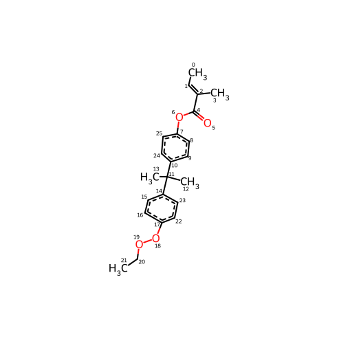 CC=C(C)C(=O)Oc1ccc(C(C)(C)c2ccc(OOCC)cc2)cc1